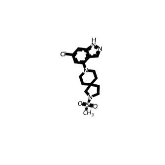 CS(=O)(=O)N1CCC2(CCN(c3cc(Cl)cc4[nH]ncc34)CC2)C1